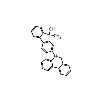 CC1(C)c2ccccc2-c2cc3c4cccc5c4n(c3cc21)Cc1ccccc1-5